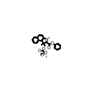 C[N+]1=C(C(=O)Oc2ccccc2)C(C)(C)c2c1ccc1ccccc21.O=S(=O)([O-])C(F)(F)F